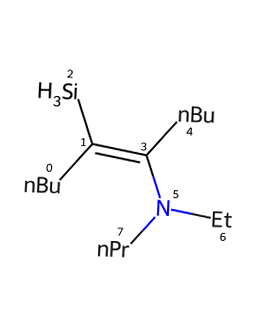 CCCCC([SiH3])=C(CCCC)N(CC)CCC